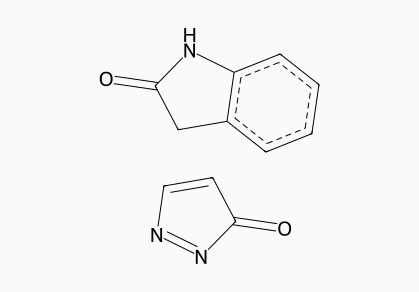 O=C1C=CN=N1.O=C1Cc2ccccc2N1